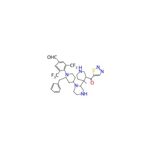 CC1(C2CNCCN2C2CCN(c3c(C(F)(F)F)cc(C=O)cc3C(F)(F)F)C(Cc3ccccc3)C2)CCNCC1C(=O)c1cnns1